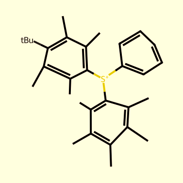 Cc1c(C)c(C)c([S+](c2ccccc2)c2c(C)c(C)c(C(C)(C)C)c(C)c2C)c(C)c1C